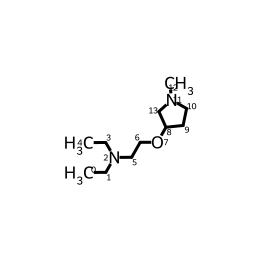 CCN(CC)CCOC1CCN(C)C1